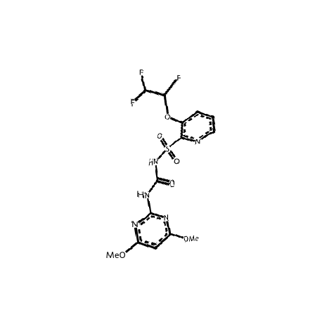 COc1cc(OC)nc(NC(=O)NS(=O)(=O)c2ncccc2OC(F)C(F)F)n1